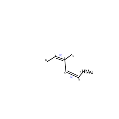 C/C=C(C)\C=C/NC